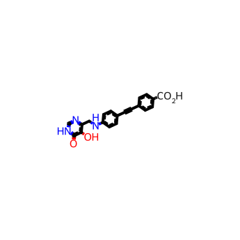 O=C(O)c1ccc(C#Cc2ccc(NCc3nc[nH]c(=O)c3O)cc2)cc1